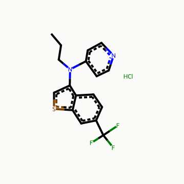 CCCN(c1ccncc1)c1csc2cc(C(F)(F)F)ccc12.Cl